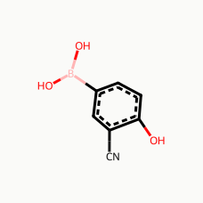 N#Cc1cc(B(O)O)ccc1O